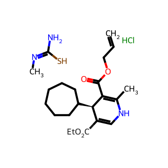 C=CCOC(=O)C1=C(C)NC=C(C(=O)OCC)[C@H]1C1CCCCCC1.CN=C(N)S.Cl